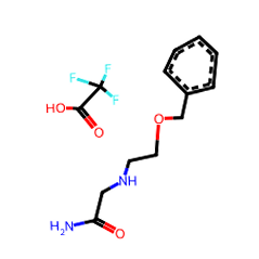 NC(=O)CNCCOCc1ccccc1.O=C(O)C(F)(F)F